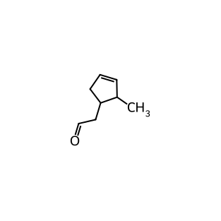 CC1C=CCC1CC=O